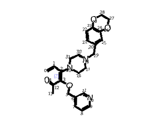 C=C/C(=C(/OCc1cccnc1)C(C)=O)N1CCN(Cc2ccc3c(c2)OCCO3)CC1